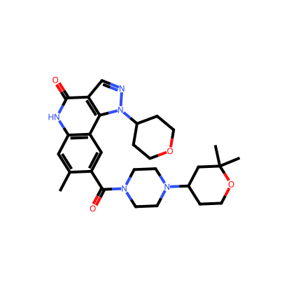 Cc1cc2[nH]c(=O)c3cnn(C4CCOCC4)c3c2cc1C(=O)N1CCN(C2CCOC(C)(C)C2)CC1